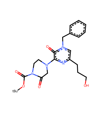 CC(C)(C)OC(=O)N1CCN(c2nc(CCCO)cn(Cc3ccccc3)c2=O)CC1=O